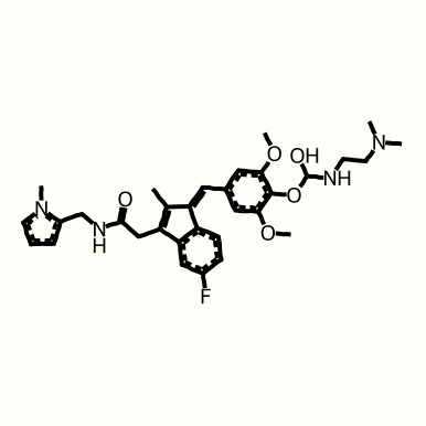 COc1cc(/C=C2/C(C)=C(CC(=O)NCc3cccn3C)c3cc(F)ccc32)cc(OC)c1OC(O)NCCN(C)C